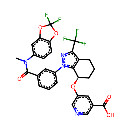 CN(C(=O)c1cccc(-n2nc(C(F)(F)F)c3c2[C@H](Oc2cncc(C(=O)O)c2)CCC3)c1)c1ccc2c(c1)OC(F)(F)O2